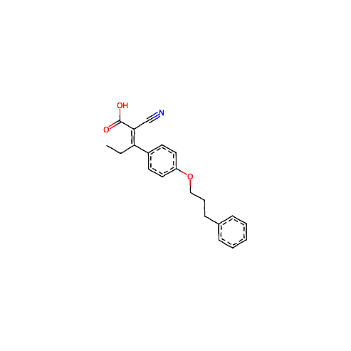 CC/C(=C(/C#N)C(=O)O)c1ccc(OCCCc2ccccc2)cc1